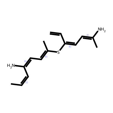 C=C/C(=C\C=C(/C)N)S/C(C)=C/C=C(N)\C=C/C